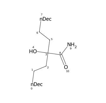 CCCCCCCCCCCCC(O)(CCCCCCCCCCCC)C(N)=O